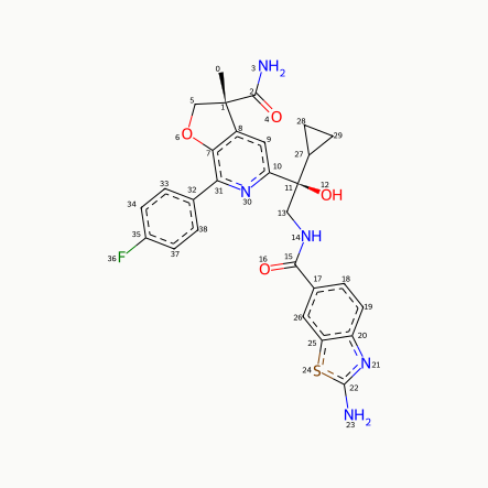 C[C@]1(C(N)=O)COc2c1cc([C@@](O)(CNC(=O)c1ccc3nc(N)sc3c1)C1CC1)nc2-c1ccc(F)cc1